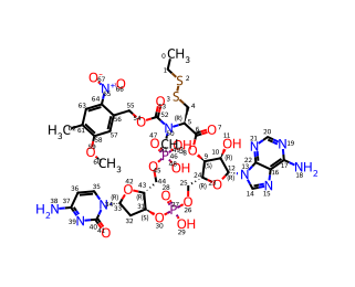 CCSSC[C@@H](C(=O)O[C@H]1[C@@H](O)[C@H](n2cnc3c(N)ncnc32)O[C@@H]1COP(=O)(O)O[C@H]1C[C@H](n2ccc(N)nc2=O)O[C@@H]1COP(=O)(O)O)N(C)C(=O)OCc1cc(OC)c(C)cc1[N+](=O)[O-]